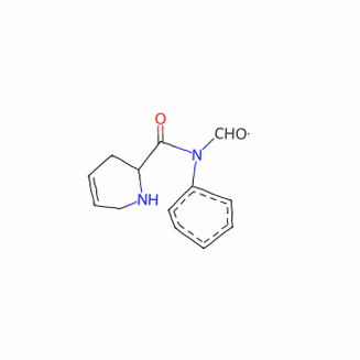 O=[C]N(C(=O)C1CC=CCN1)c1ccccc1